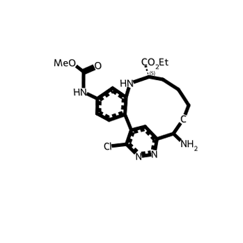 CCOC(=O)[C@@H]1CCCCC(N)c2cc(c(Cl)nn2)-c2ccc(NC(=O)OC)cc2N1